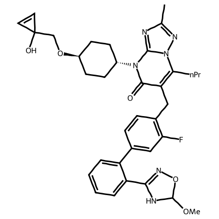 CCCc1c(Cc2ccc(-c3ccccc3C3=NOC(OC)N3)cc2F)c(=O)n([C@H]2CC[C@H](OCC3(O)C=C3)CC2)c2nc(C)nn12